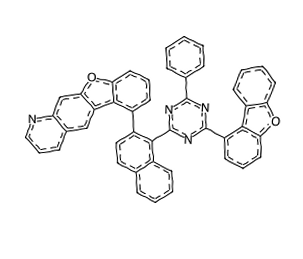 c1ccc(-c2nc(-c3c(-c4cccc5oc6cc7ncccc7cc6c45)ccc4ccccc34)nc(-c3cccc4oc5ccccc5c34)n2)cc1